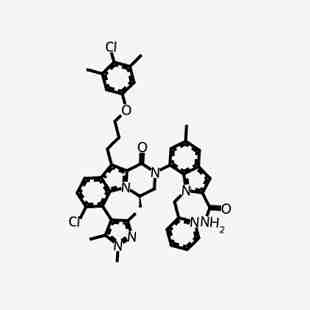 Cc1cc(N2C[C@@H](C)n3c(c(CCCOc4cc(C)c(Cl)c(C)c4)c4ccc(Cl)c(-c5c(C)nn(C)c5C)c43)C2=O)c2c(c1)cc(C(N)=O)n2Cc1ccccn1